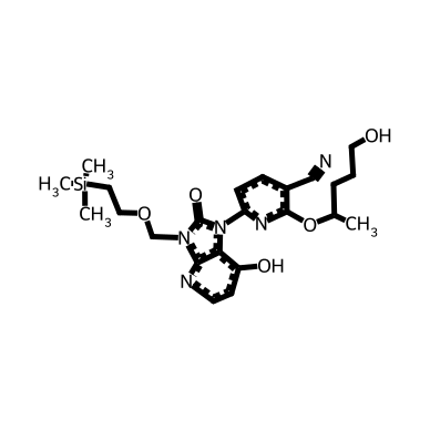 CC(CCCO)Oc1nc(-n2c(=O)n(COCC[Si](C)(C)C)c3nccc(O)c32)ccc1C#N